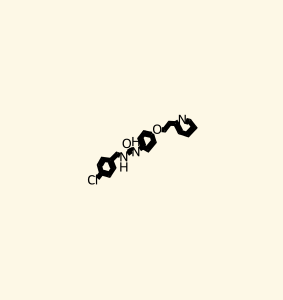 O=C(NCc1ccc(Cl)cc1)Nc1ccc(OCCc2ccccn2)cc1